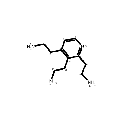 NCCc1ccnc(CCN)c1CCN